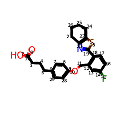 O=C(O)CCCc1ccc(OCc2cc(F)ccc2-c2nc3c(s2)CCCC3)cc1